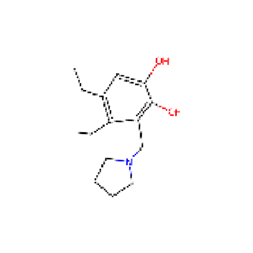 CCc1cc(O)c(O)c(CN2CCCC2)c1CC